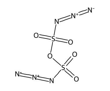 [N-]=[N+]=NS(=O)(=O)OS(=O)(=O)N=[N+]=[N-]